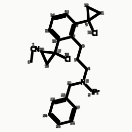 CC#N.CC(C)N(CCCc1c(C2(Cl)CC2)cccc1C1(Cl)CC1)Cc1ccccc1